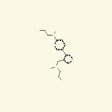 CCN(CCC(C)C)c1ccc(-c2n[nH]cc2CN(C)CCN)cn1